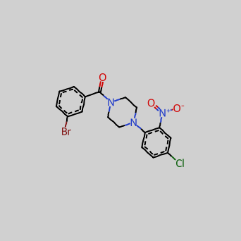 O=C(c1cccc(Br)c1)N1CCN(c2ccc(Cl)cc2[N+](=O)[O-])CC1